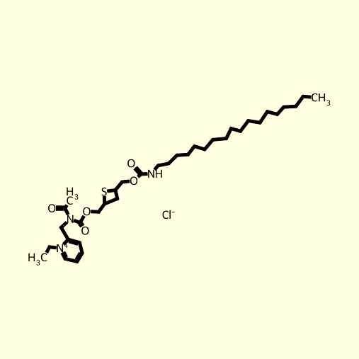 CCCCCCCCCCCCCCCCCCNC(=O)OCC1CC(COC(=O)N(Cc2cccc[n+]2CC)C(C)=O)S1.[Cl-]